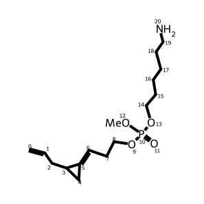 C=CCC1CC1=CCCOP(=O)(OC)OCCCCCCN